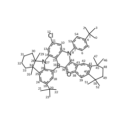 CC(C)(C)c1ccc(N2c3cc(Cl)cc4c3B(c3cc(C(C)(C)C)cc5c3N4C3(C)CCCCC53C)c3oc4cc5c(cc4c32)C(C)(C)CCC5(C)C)cc1